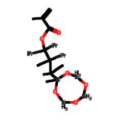 C=C(C)C(=O)OC(C(C)C)(C(C)C)C(C)(C(C)C)C(C)(C)[Si]1(C)O[SiH2]O[SiH2]O[SiH2]O1